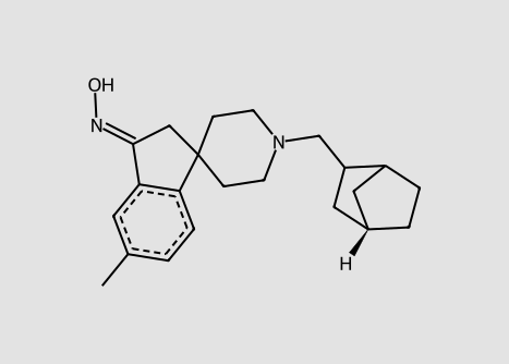 Cc1ccc2c(c1)/C(=N/O)CC21CCN(CC2C[C@H]3CCC2C3)CC1